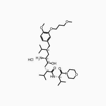 COCCCOc1cc(C[C@@H](C[C@H](N)[C@@H](O)C[C@H](C(=O)N[C@H](C(=O)N2CCOCC2)C(C)C)C(C)C)C(C)C)ccc1OC.Cl